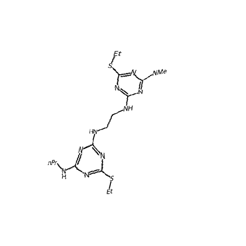 CCCNc1nc(NCCNc2nc(NC)nc(SCC)n2)nc(SCC)n1